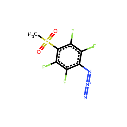 CS(=O)(=O)c1c(F)c(F)c(N=[N+]=[N-])c(F)c1F